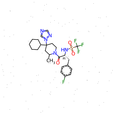 CC1CC(C2CCCCC2)(n2cncn2)CCN1C(=O)[C@@H](Cc1ccc(F)cc1)NS(=O)(=O)C(F)(F)F